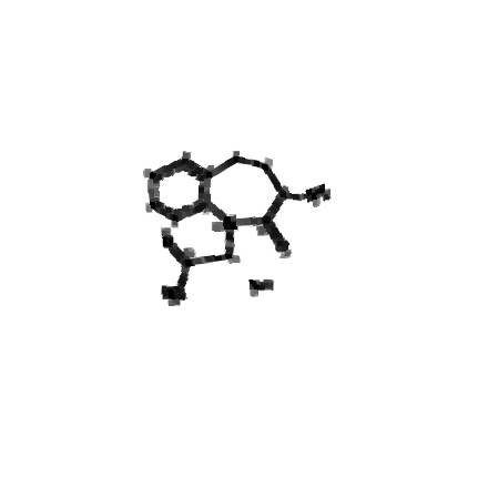 NC1CCc2ccccc2N(CC(=O)O)C1=O.[NaH]